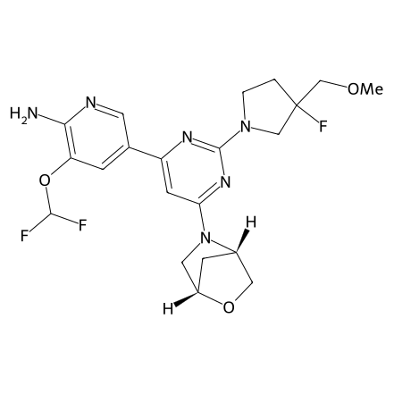 COCC1(F)CCN(c2nc(-c3cnc(N)c(OC(F)F)c3)cc(N3C[C@@H]4C[C@H]3CO4)n2)C1